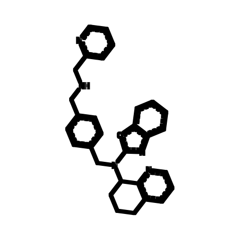 c1ccc(CNCc2ccc(CN(c3nc4ccccc4o3)C3CCCc4cccnc43)cc2)nc1